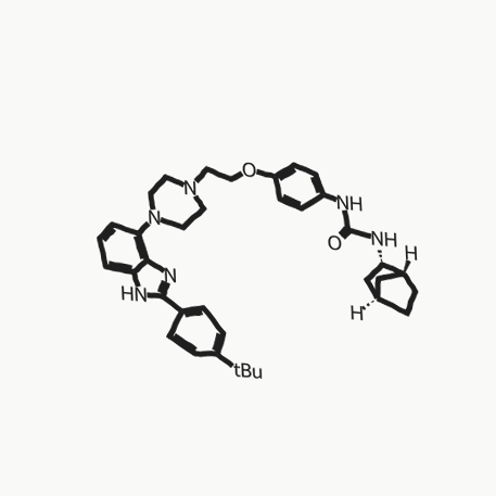 CC(C)(C)c1ccc(-c2nc3c(N4CCN(CCOc5ccc(NC(=O)N[C@H]6C[C@@H]7CC[C@@H]6C7)cc5)CC4)cccc3[nH]2)cc1